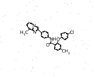 Cc1ccc(C(=O)Nc2ccc(-c3cn4cccc(C)c4n3)cc2)c(Oc2ccc(Cl)cc2)c1